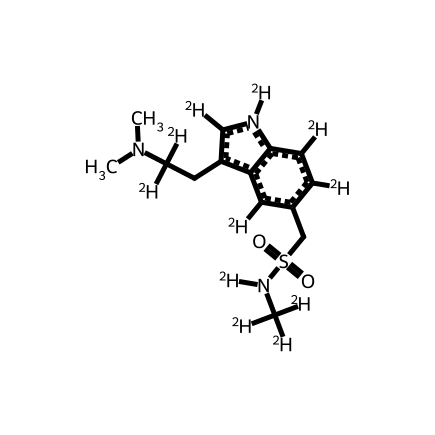 [2H]c1c(CS(=O)(=O)N([2H])C([2H])([2H])[2H])c([2H])c2c(CC([2H])([2H])N(C)C)c([2H])n([2H])c2c1[2H]